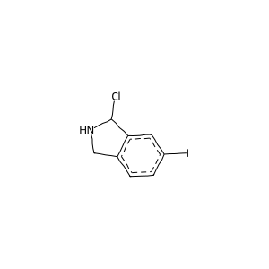 ClC1NCc2ccc(I)cc21